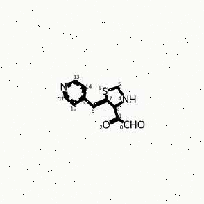 O=CC(=O)C1NCSC1=Cc1ccncc1